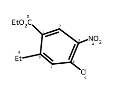 CCOC(=O)c1cc([N+](=O)[O-])c(Cl)cc1CC